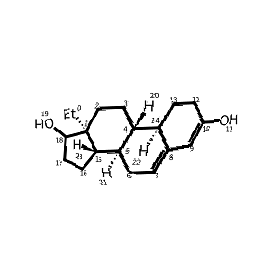 CC[C@]12CC[C@H]3[C@@H](CC=C4C=C(O)CC[C@@H]43)[C@@H]1CCC2O